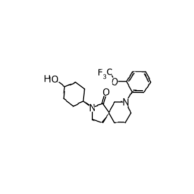 O=C1N(C2CCC(O)CC2)CC[C@@]12CCCN(c1ccccc1OC(F)(F)F)C2